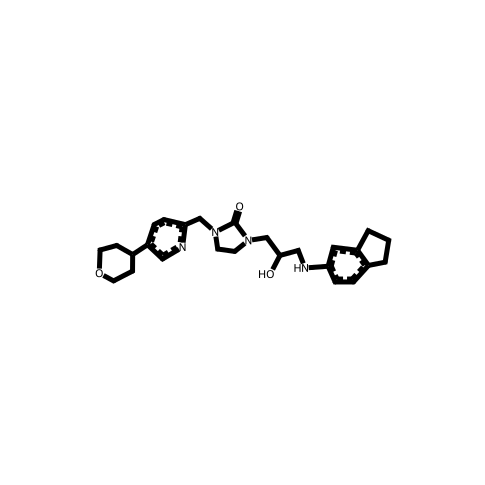 O=C1N(Cc2ccc(C3CCOCC3)cn2)CCN1CC(O)CNc1ccc2c(c1)CCC2